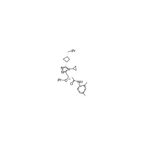 Cc1ccc(NC(=O)C[C@H](OC(C)C)c2nnc([C@H]3C[C@@H](CC(C)C)C3)n2C2CC2)c(C)c1